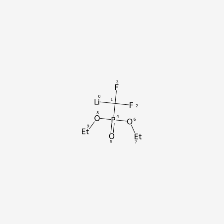 [Li][C](F)(F)P(=O)(OCC)OCC